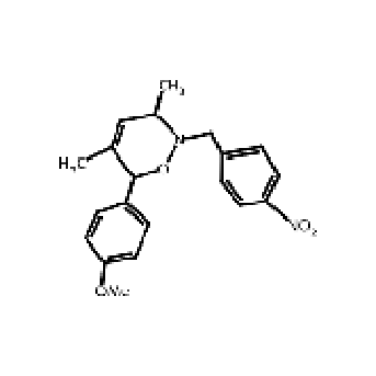 COc1ccc(C2ON(Cc3ccc([N+](=O)[O-])cc3)C(C)C=C2C)cc1